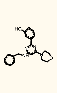 Oc1cccc(-c2nc(NCc3ccccc3)cc(N3CCOCC3)n2)c1